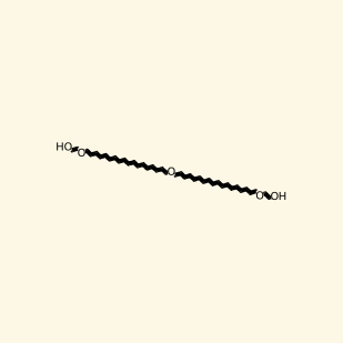 OCCOCCCCCCCCCCCCCCCCCCOCCCCCCCCCCCCCCCCCCOCCO